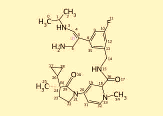 CC(C)N/C=C(\CN)c1cc(F)cc(CNC(=O)C2C=C(N3CC[C@@](C)(C4CC4)C3=O)C=CN2C)c1